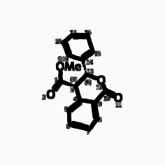 COC(=O)[C@@H]1c2ccccc2C(=O)O[C@H]1c1ccccc1